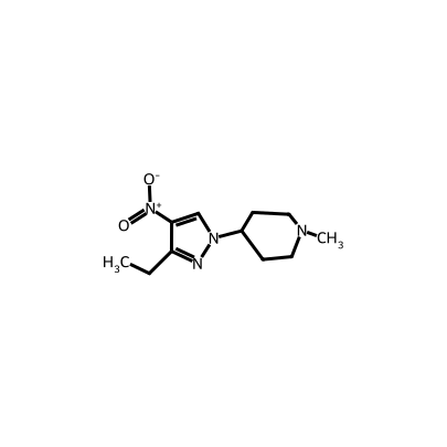 CCc1nn(C2CCN(C)CC2)cc1[N+](=O)[O-]